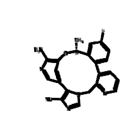 C[C@H]1Oc2cc(cnc2N)-c2c(C#N)ncn2Cc2ncccc2-c2ccc(F)cc21